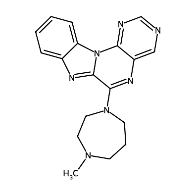 CN1CCCN(c2nc3cncnc3n3c2nc2ccccc23)CC1